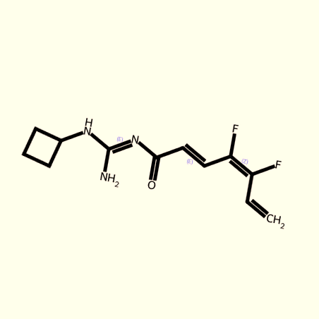 C=C/C(F)=C(F)\C=C\C(=O)/N=C(\N)NC1CCC1